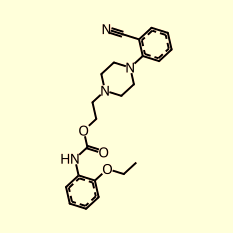 CCOc1ccccc1NC(=O)OCCN1CCN(c2ccccc2C#N)CC1